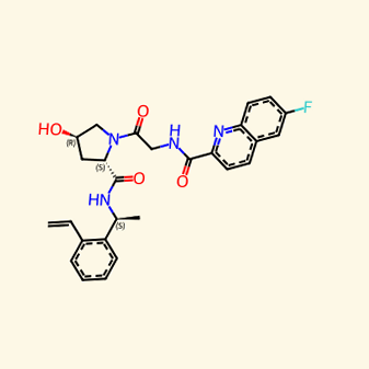 C=Cc1ccccc1[C@H](C)NC(=O)[C@@H]1C[C@@H](O)CN1C(=O)CNC(=O)c1ccc2cc(F)ccc2n1